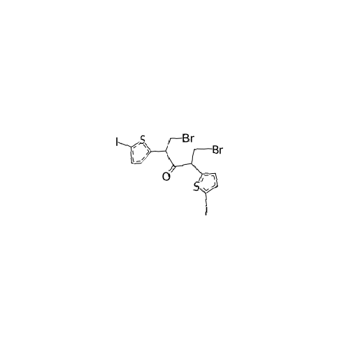 O=C(C(CBr)c1ccc(I)s1)C(CBr)c1ccc(I)s1